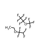 CCOC(F)(F)C(F)F.FC(F)(F)OC(F)(F)C(F)(F)I